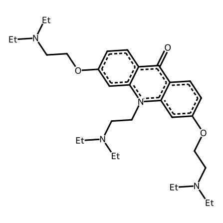 CCN(CC)CCOc1ccc2c(=O)c3ccc(OCCN(CC)CC)cc3n(CCN(CC)CC)c2c1